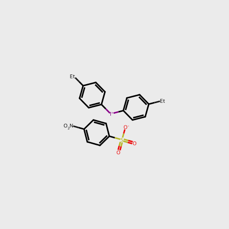 CCc1ccc([I+]c2ccc(CC)cc2)cc1.O=[N+]([O-])c1ccc(S(=O)(=O)[O-])cc1